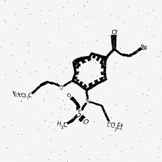 CCOC(=O)COc1ccc(C(=O)CBr)cc1N(CC(=O)OCC)S(C)(=O)=O